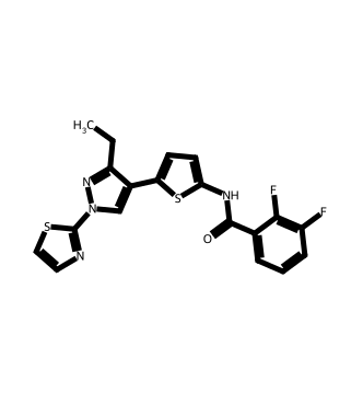 CCc1nn(-c2nccs2)cc1-c1ccc(NC(=O)c2cccc(F)c2F)s1